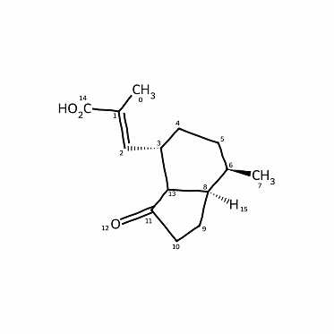 C/C(=C\[C@@H]1CC[C@@H](C)[C@H]2CCC(=O)C12)C(=O)O